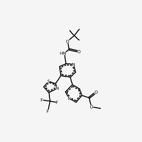 COC(=O)c1cncc(-c2cnc(NC(=O)OC(C)(C)C)cc2-c2nc(C(F)(F)F)cs2)c1